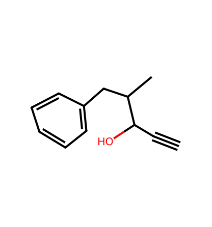 C#CC(O)C(C)Cc1ccccc1